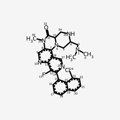 CN(C)CC1CN2c3c(cnc4c(F)c(-c5cccc6cccc(Cl)c56)ncc34)N(C)C(=O)C2CN1